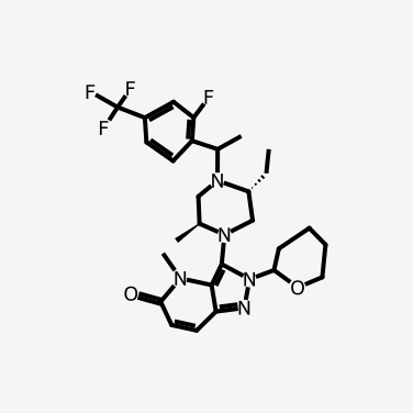 CC[C@@H]1CN(c2c3c(ccc(=O)n3C)nn2C2CCCCO2)[C@@H](C)CN1C(C)c1ccc(C(F)(F)F)cc1F